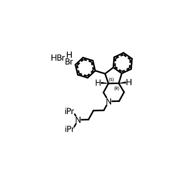 Br.Br.CC(C)N(CCCN1CC[C@H]2c3ccccc3C(c3ccccc3)[C@H]2C1)C(C)C